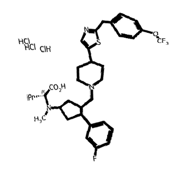 CC(C)[C@H](C(=O)O)N(C)C1CC(CN2CCC(c3cnc(Cc4ccc(OC(F)(F)F)cc4)s3)CC2)C(c2cccc(F)c2)C1.Cl.Cl.Cl